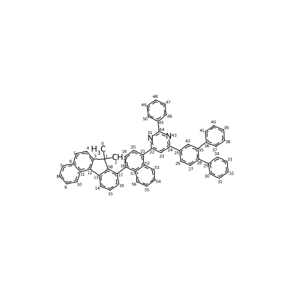 CC1(C)c2ccc3ccccc3c2-c2cccc(-c3ccc(-c4cc(-c5ccc(-c6ccccc6)c(-c6ccccc6)c5)nc(-c5ccccc5)n4)c4ccccc34)c21